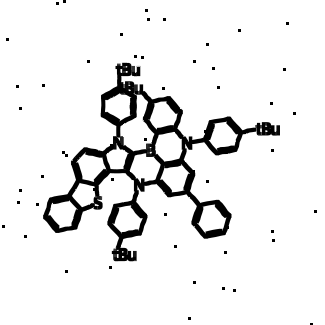 CC(C)(C)c1ccc(N2c3ccc(C(C)(C)C)cc3B3c4c2cc(-c2ccccc2)cc4N(c2ccc(C(C)(C)C)cc2)c2c3n(-c3ccc(C(C)(C)C)cc3)c3ccc4c5ccccc5sc4c23)cc1